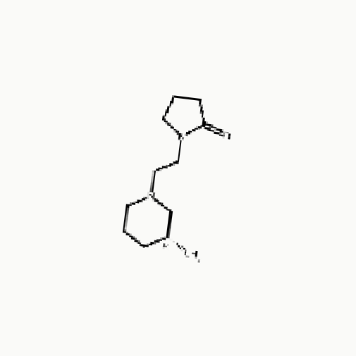 C[C@@H]1CCCN(CCN2CCCC2=O)C1